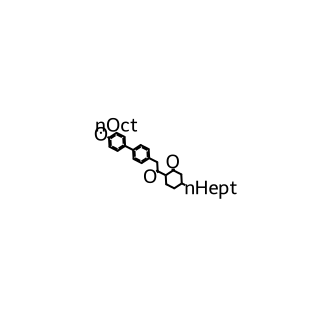 CCCCCCCCOc1ccc(-c2ccc(CC(=O)C3CCC(CCCCCCC)CC3=O)cc2)cc1